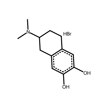 Br.CN(C)C1CCc2cc(O)c(O)cc2C1